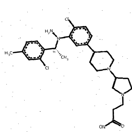 Cc1ccc([C@@H](C)N(N)c2cc(C3CCN(C4CCN(CCC(=O)N=O)C4)CC3)ccc2Cl)c(Cl)c1